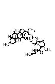 C#CCNC(=O)C1=C(C)CSC2C(NC(=O)CC[C@@H](C)[C@H]3CC[C@H]4[C@@H]5[C@H](O)C[C@@H]6C[C@H](O)CC[C@]6(C)[C@H]5C[C@H](O)[C@]34C)C(=O)N12